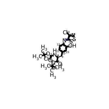 CC(C)(C)OC(=O)N[C@@H](Cc1ccc(/N=c2\ssnc2Cl)c(O)c1)C(=O)OC(C)(C)C